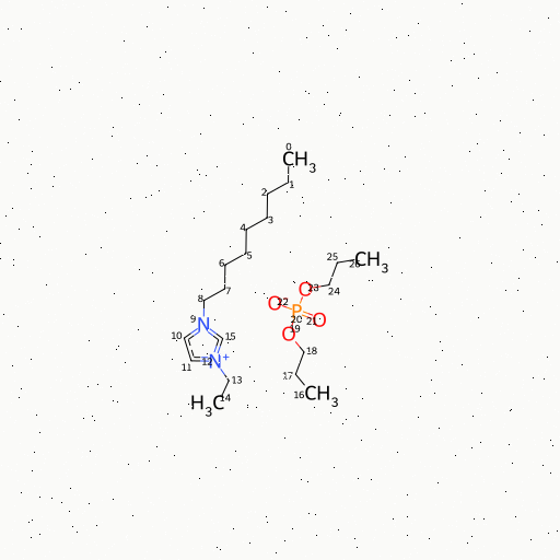 CCCCCCCCCn1cc[n+](CC)c1.CCCOP(=O)([O-])OCCC